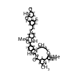 CN/C1=C(\C=N)c2cc(cc(C)n2)C(=O)/N=C2\Nc3ccc(C(=O)N[C@H]4CCN(CCc5cc(F)c([C@H]6CCC(=O)NC6=O)c(F)c5)C[C@H]4OC)cc3N2C[C@H](C)CCCO1